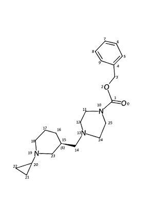 O=C(OCc1ccccc1)N1CCN(C[C@@H]2CCCN(C3CC3)C2)CC1